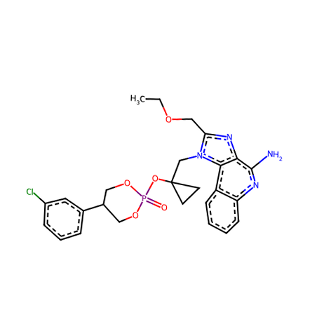 CCOCc1nc2c(N)nc3ccccc3c2n1CC1(OP2(=O)OCC(c3cccc(Cl)c3)CO2)CC1